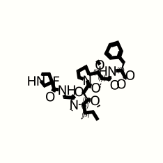 CC[C@H](C)[C@@H]([C@@H](CC(=O)N1CCCC1[C@H](OC)[C@@H](C)C(=O)N[C@@H](Cc1ccccc1)C(=O)OC)OC)N(C)C(=O)CNC(=O)C1(F)CCNC1